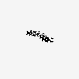 CCN(CC)c1ccc2c(C)c(CCOC(=O)N3CCN(S(=O)(=O)C4CC4)CC3)c(=O)oc2c1